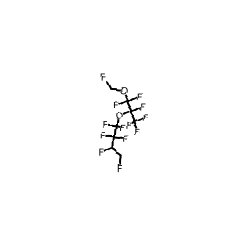 FCOC(F)(F)C(F)(OC(F)(F)C(F)(F)C(F)CF)C(F)(F)F